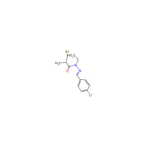 CC(CS)C(=O)N(CC(=O)O)N=Cc1ccc(Cl)cc1